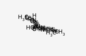 COc1ccc(CC(=O)Nc2ccc(C(=O)N(CC(=O)O)Cc3ccc(-c4ncc(C5=CCC(c6ccc(CC(C)C)cc6)CC5)cn4)cc3)cc2)cc1